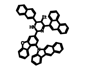 CCC1C(c2cc3ccccc3c3ccccc23)=NC(c2cc(-n3c4ccccc4c4cc5ccccc5cc43)c3c(c2)oc2ccccc23)NC1c1ccc2ccccc2c1